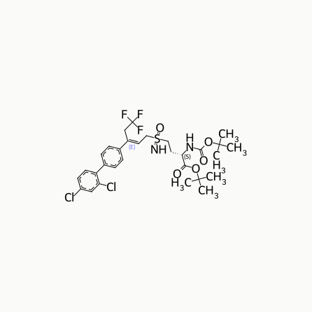 CC(C)(C)OC(=O)N[C@@H](CCS(=N)(=O)C/C=C(\CC(F)(F)F)c1ccc(-c2ccc(Cl)cc2Cl)cc1)C(=O)OC(C)(C)C